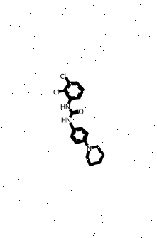 O=C(Nc1ccc(N2CCCCC2)cc1)Nc1cccc(Cl)c1Cl